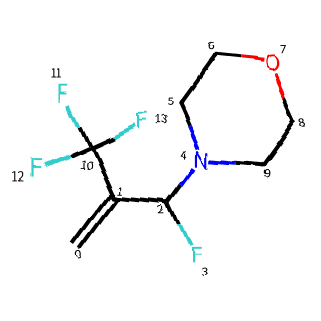 C=C(C(F)N1CCOCC1)C(F)(F)F